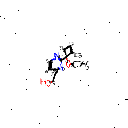 COC1(c2nccc(CO)n2)CCC1